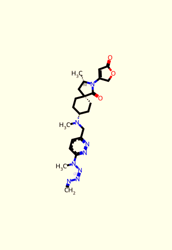 C=N/N=N\N(C)c1ccc(CN(C)[C@H]2CC[C@]3(CC2)C[C@H](C)N(C2=CC(=O)OC2)C3=O)nn1